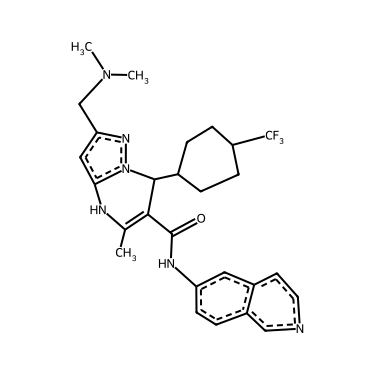 CC1=C(C(=O)Nc2ccc3cnccc3c2)C(C2CCC(C(F)(F)F)CC2)n2nc(CN(C)C)cc2N1